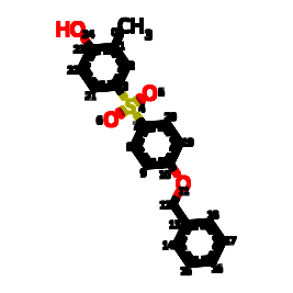 Cc1cc(S(=O)(=O)c2ccc(OCc3ccccc3)cc2)ccc1O